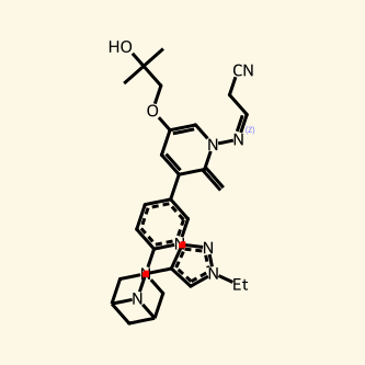 C=C1C(c2ccc(N3CC4CC(C3)N4Cc3cnn(CC)c3)nc2)=CC(OCC(C)(C)O)=CN1/N=C\CC#N